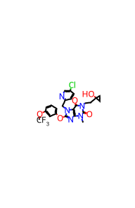 Cn1c(=O)n(CCC2(O)CC2)c(=O)c2c1nc(Oc1cccc(OC(F)(F)F)c1)n2Cc1ccc(Cl)cn1